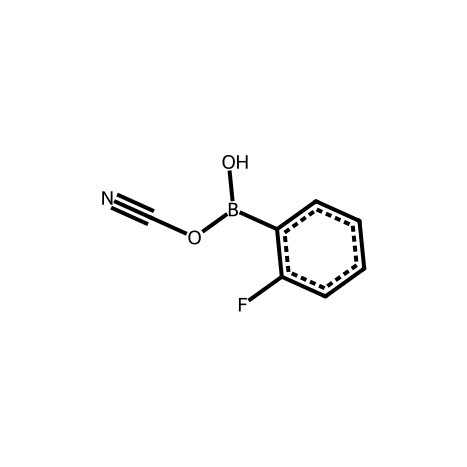 N#COB(O)c1ccccc1F